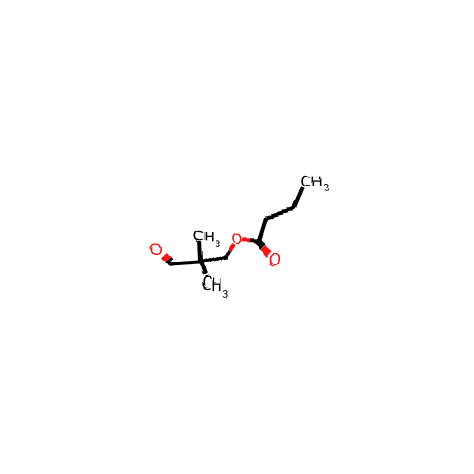 CCCC(=O)OCC(C)(C)C=O